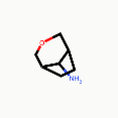 NC1C2CCC1COC2